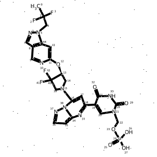 CC(F)(F)Cn1ncc2cnc(O[C@H]3CN(c4cc(-c5cn(COP(=O)(O)O)c(=O)[nH]c5=O)nc5ccnn45)CC3(F)F)cc21